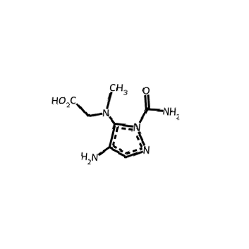 CN(CC(=O)O)c1c(N)cnn1C(N)=O